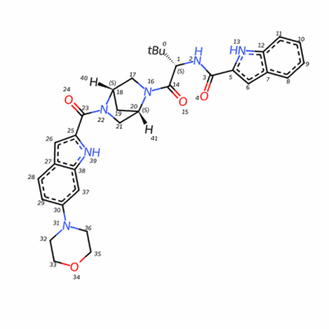 CC(C)(C)[C@H](NC(=O)c1cc2ccccc2[nH]1)C(=O)N1C[C@@H]2C[C@H]1CN2C(=O)c1cc2ccc(N3CCOCC3)cc2[nH]1